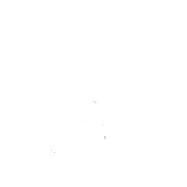 O=C1Nc2ccc3ncsc3c2/C1=C/Nc1ccc(OCc2ccccc2)cc1